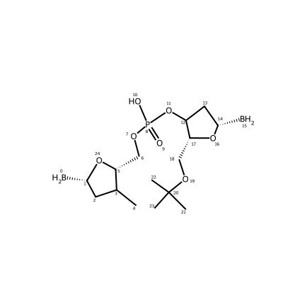 B[C@H]1CC(C)[C@@H](COP(=O)(O)OC2C[C@H](B)O[C@@H]2COC(C)(C)C)O1